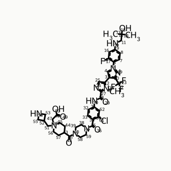 Cn1c(-c2cn(-c3ccc(NCC(C)(C)O)cc3F)nc2C(F)(F)F)cnc1C(=O)Nc1ccc(C(=O)N2CCN(C(=O)C3CC[N+](CC(=O)O)(CC4CNC4)CC3)CC2)c(Cl)c1